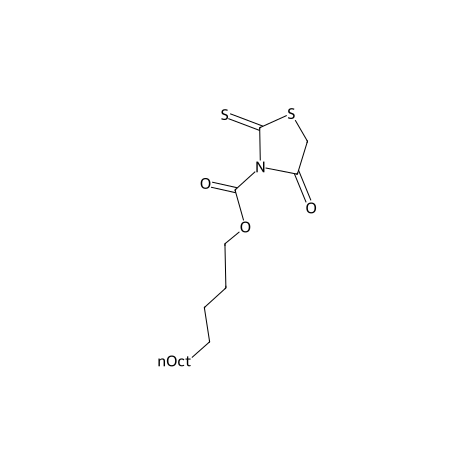 CCCCCCCCCCCCOC(=O)N1C(=O)CSC1=S